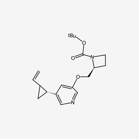 C=CC1C[C@H]1c1cncc(OC[C@@H]2CCN2C(=O)OC(C)(C)C)c1